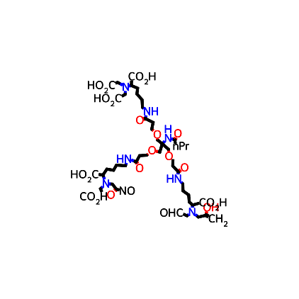 C=C(O)CN(CC=O)C(CCCCNC(=O)CCOCC(COCCC(=O)NCCCCC(C(=O)O)N(CC(=O)O)CC(=O)O)(COCCC(=O)NCCCCC(C(=O)O)N(CC(=O)O)CC(=O)N=O)NC(=O)CCC)C(=O)O